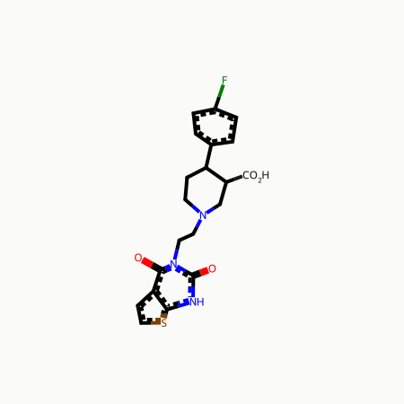 O=C(O)C1CN(CCn2c(=O)[nH]c3sccc3c2=O)CCC1c1ccc(F)cc1